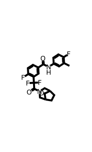 Cc1cc(NC(=O)c2ccc(F)c(C(F)(F)C(=O)N3CC4CCC(C3)C4=O)c2)ccc1F